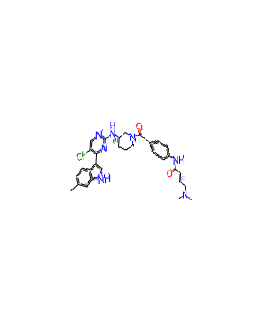 Cc1ccc2c(-c3nc(N[C@@H]4CCCN(C(=O)c5ccc(NC(=O)/C=C/CN(C)C)cc5)C4)ncc3Cl)c[nH]c2c1